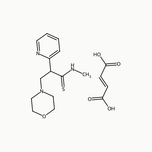 CNC(=S)C(CN1CCOCC1)c1ccccn1.O=C(O)C=CC(=O)O